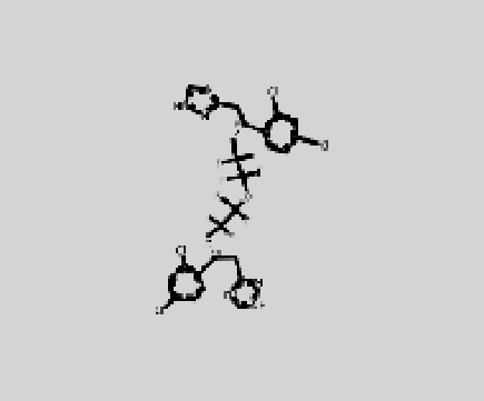 FC(F)(C[C@H](Cc1nc[nH]n1)c1ccc(Cl)cc1Cl)C(F)(F)OC(F)(F)C(F)(F)C[C@H](Cc1nc[nH]n1)c1ccc(Cl)cc1Cl